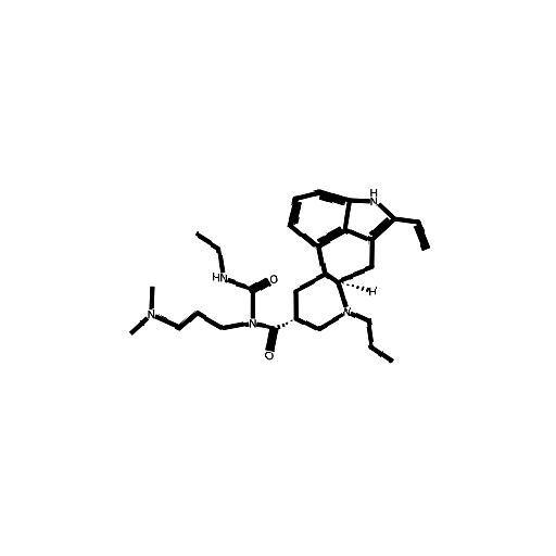 C=Cc1[nH]c2cccc3c2c1C[C@@H]1C3C[C@@H](C(=O)N(CCCN(C)C)C(=O)NCC)CN1CCC